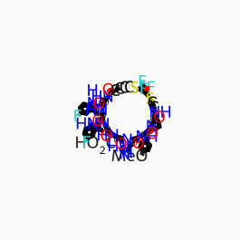 COc1ccc(C[C@@H]2NC(=O)[C@H](Cc3cnc[nH]3)NC(=O)[C@H](CC(=O)O)NC(=O)[C@H](Cc3c[nH]c4ccc(F)cc34)NC(=O)[C@H](Cc3c[nH]c4ccc(F)cc34)NC(=O)[C@@H](C)NC(=O)CCCCSC3C(F)=C(F)C(=C3F)SCCNC(=O)[C@]3(C)CCCN3C2=O)cc1